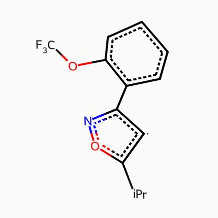 CC(C)c1[c]c(-c2ccccc2OC(F)(F)F)no1